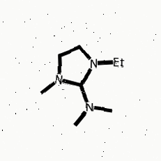 CCN1CCN(C)C1N(C)C